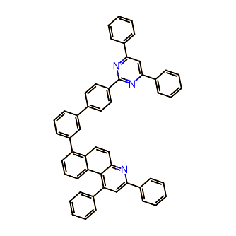 c1ccc(-c2cc(-c3ccccc3)nc(-c3ccc(-c4cccc(-c5cccc6c5ccc5nc(-c7ccccc7)cc(-c7ccccc7)c56)c4)cc3)n2)cc1